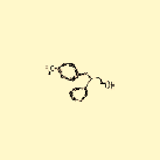 OCCC(Cc1ccc(C(F)(F)F)cc1)c1ccccc1